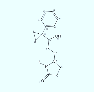 CC1C(=O)CCN1CCC(O)C1(c2ccccc2)CC1